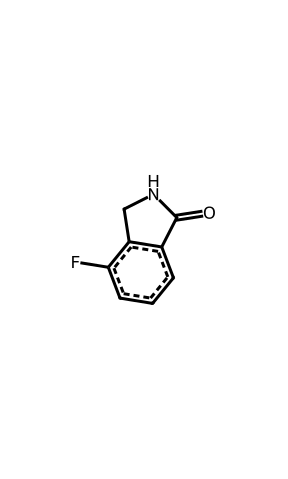 O=C1NCc2c(F)cccc21